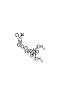 CCCn1c(=O)c2[nH]c(-c3ccc(OCC(=O)N4CCC(C#N)(c5ccccc5)CC4)cc3)cc2n(CCC)c1=O